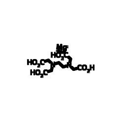 O=C(O)CN(CCN(CC(=O)O)CC(=O)O)CC(=O)O.[Mg].[Na]